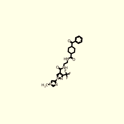 Cn1cnc(-n2cc(C(=O)NCCNC(=O)C3CCC(C(=O)c4ccccc4)CC3)c(C(F)(F)F)n2)c1